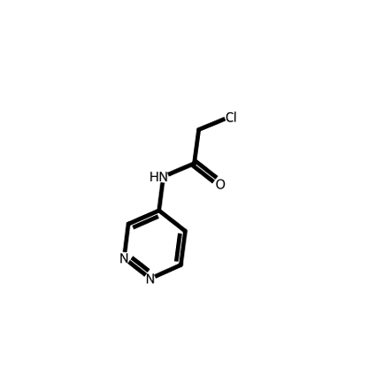 O=C(CCl)Nc1ccnnc1